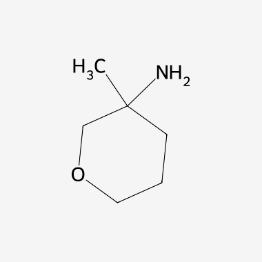 CC1(N)CCCOC1